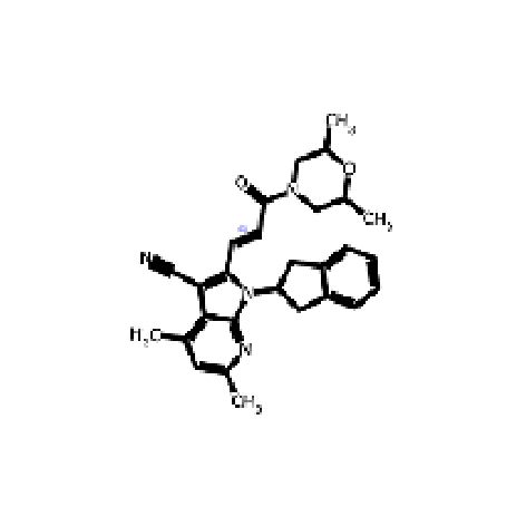 Cc1cc(C)c2c(C#N)c(/C=C/C(=O)N3CC(C)OC(C)C3)n(C3Cc4ccccc4C3)c2n1